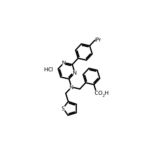 CC(C)c1ccc(-c2nccc(N(Cc3cccs3)Cc3ccccc3C(=O)O)n2)cc1.Cl